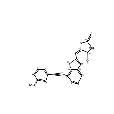 COc1cccc(C#Cc2cncc3cc(C=C4SC(=O)NC4=O)oc23)c1